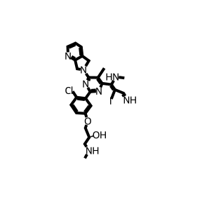 CNC[C@@H](O)COc1ccc(Cl)c(-c2nc(/C(NC)=C(\I)C=N)c(C)c(N3Cc4cccnc4C3)n2)c1